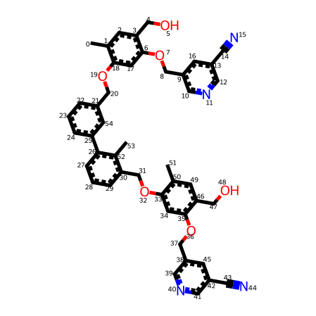 Cc1cc(CO)c(OCc2cncc(C#N)c2)cc1OCc1cccc(-c2cccc(COc3cc(OCc4cncc(C#N)c4)c(CO)cc3C)c2C)c1